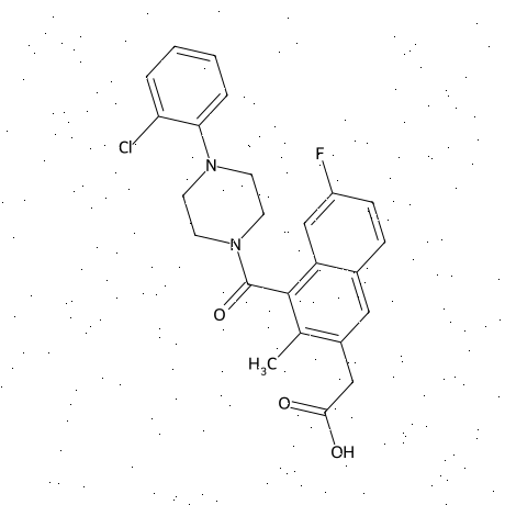 Cc1c(CC(=O)O)cc2ccc(F)cc2c1C(=O)N1CCN(c2ccccc2Cl)CC1